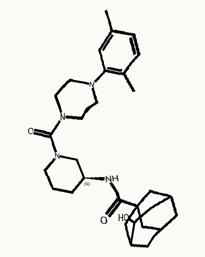 Cc1ccc(C)c(N2CCN(C(=O)N3CCC[C@H](NC(=O)C45CC6CC(C4)C(O)C(C6)C5)C3)CC2)c1